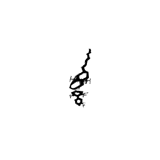 CCCCCCCC1CC[C@@H]2C[C@H](c3cc(F)c(-c4cccc(F)c4)c(F)c3)CC[C@@H]2C1